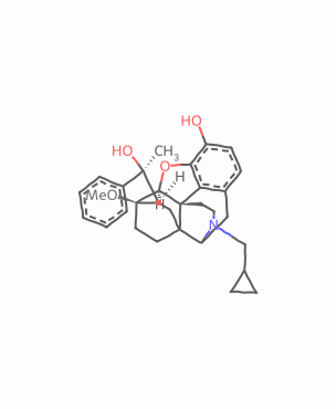 CO[C@]12CCC3(C[C@@H]1[C@](C)(O)c1ccccc1)C1Cc4ccc(O)c5c4[C@@]3(CCN1CC1CC1)[C@@H]2O5